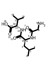 CC(C)C[C@H](NC(=O)CN)C(=O)N[C@H](C(=O)O)C(C)C